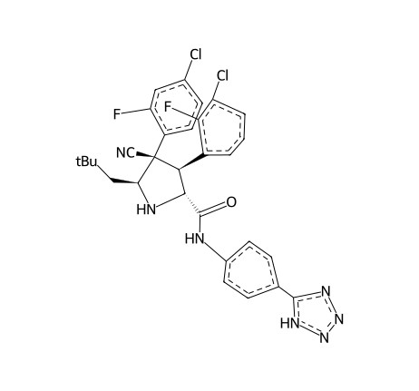 CC(C)(C)C[C@@H]1N[C@@H](C(=O)Nc2ccc(-c3nnn[nH]3)cc2)[C@H](c2cccc(Cl)c2F)[C@@]1(C#N)c1ccc(Cl)cc1F